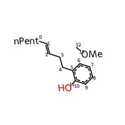 CCCCCC=CCCc1ccccc1O.COC